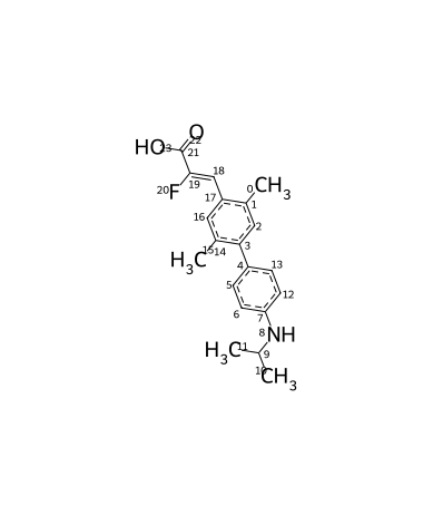 Cc1cc(-c2ccc(NC(C)C)cc2)c(C)cc1/C=C(\F)C(=O)O